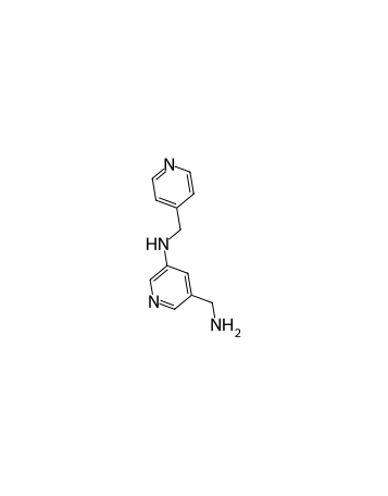 NCc1cncc(NCc2ccncc2)c1